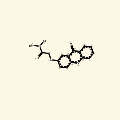 CCCN(CC)C(=O)COc1ccc2sc3ccccc3c(=O)c2c1